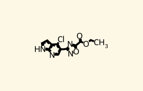 CCOC(=O)c1nc(-c2cnc3[nH]ccc3c2Cl)no1